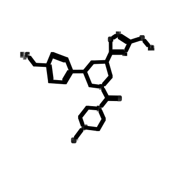 CCOc1noc(C2CC(c3ccc(CC(F)(F)F)cc3)CN(C(=O)N3CC[S+]([O-])CC3)C2)n1